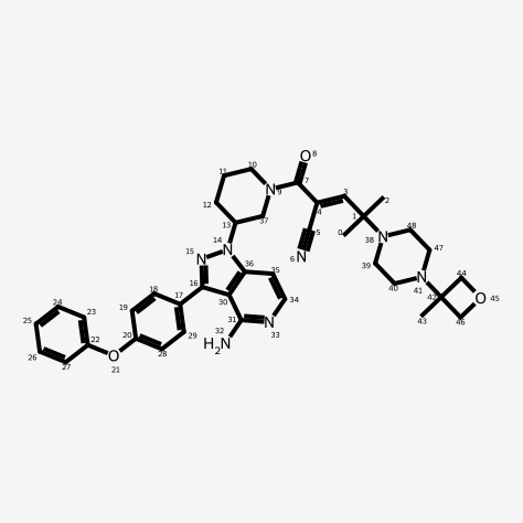 CC(C)(C=C(C#N)C(=O)N1CCCC(n2nc(-c3ccc(Oc4ccccc4)cc3)c3c(N)nccc32)C1)N1CCN(C2(C)COC2)CC1